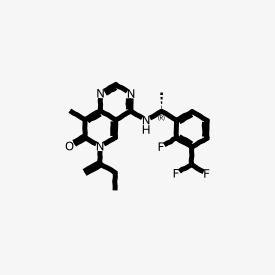 C=C(CC)n1cc2c(N[C@H](C)c3cccc(C(F)F)c3F)ncnc2c(C)c1=O